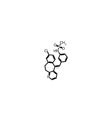 CS(=O)(=O)Nc1cccc(/C=C2\c3ccc(Cl)cc3CCc3ncccc32)c1